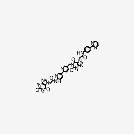 Cn1c(=O)c2c(ncn2CC(=O)Nc2ccc(-c3ccc(Cn4c(=O)c5c(ncn5CC(=O)Nc5ccc(-c6ncccn6)cc5)n(C)c4=O)cn3)cn2)n(C)c1=O